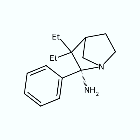 CCC1(CC)C2CCN(C2)[C@@]1(N)c1ccccc1